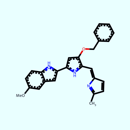 COc1ccc2[nH]c(-c3cc(OCc4ccccc4)c(C=C4C=CC(C)=N4)[nH]3)cc2c1